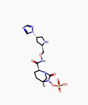 O=C(NOC[C@H]1C[C@H](n2cncn2)CN1)[C@@H]1CC[C@@H]2CN1C(=O)N2OS(=O)(=O)O